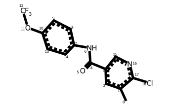 Cc1cc(C(=O)Nc2ccc(OC(F)(F)F)cc2)cnc1Cl